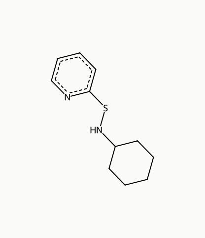 c1ccc(SNC2CCCCC2)nc1